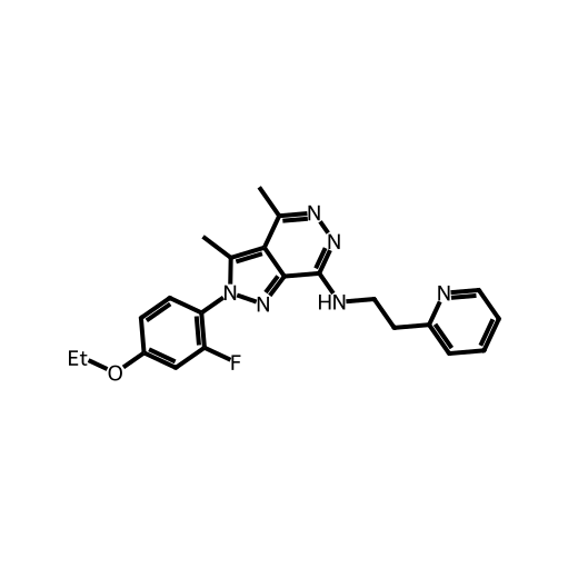 CCOc1ccc(-n2nc3c(NCCc4ccccn4)nnc(C)c3c2C)c(F)c1